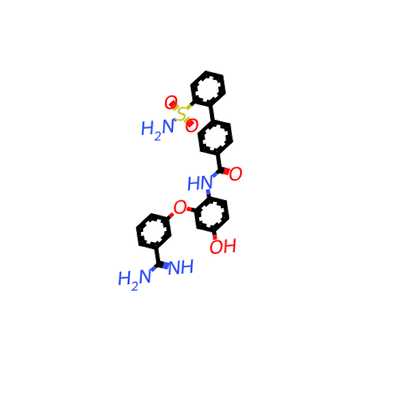 N=C(N)c1cccc(Oc2cc(O)ccc2NC(=O)c2ccc(-c3ccccc3S(N)(=O)=O)cc2)c1